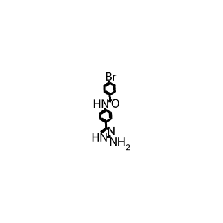 Nc1nc(-c2ccc(NC(=O)c3ccc(Br)cc3)cc2)c[nH]1